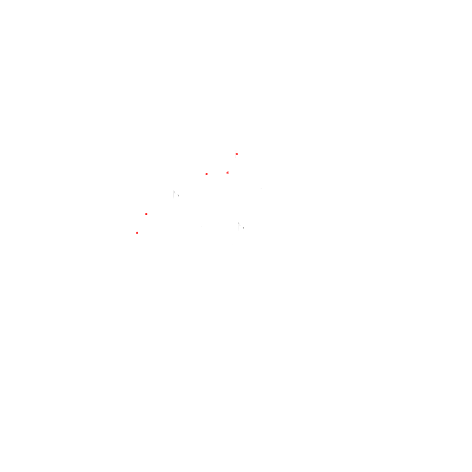 c1ccc(-c2ccc3c(c2)B2c4cc(-c5ccccc5)ccc4N4c5ccc(-c6ccccc6)cc5B5c6ccccc6Sc6cc(c2c4c65)N3c2c(-c3ccccc3)cccc2-c2ccccc2)cc1